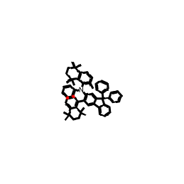 Cc1ccc2c(c1N(c1ccccc1)c1cc3c(cc1-c1cccc4c1C(C)(C)CCC4(C)C)-c1ccccc1C3(c1ccccc1)c1ccccc1)C(C)(C)CCC2(C)C